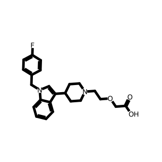 O=C(O)COCCN1CCC(c2cn(Cc3ccc(F)cc3)c3ccccc23)CC1